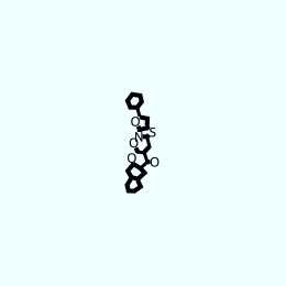 O=C1Oc2cc3ccccc3cc2C(=O)/C1=C/c1nc2oc(-c3ccccc3)cc2s1